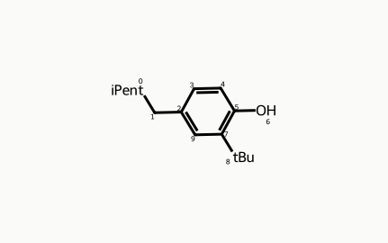 CCCC(C)Cc1ccc(O)c(C(C)(C)C)c1